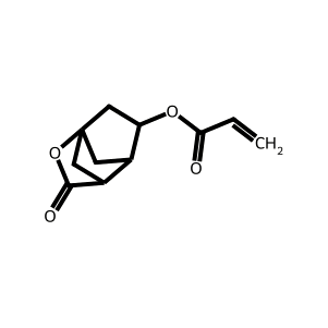 C=CC(=O)OC1CC23CC(C(=O)O2)C1C3